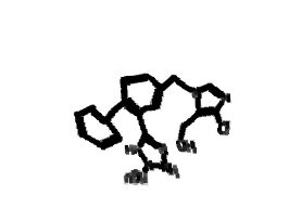 CCCCN1NN=C(c2cc(Cn3cnc(Cl)c3CO)ccc2-c2ccccc2)N1